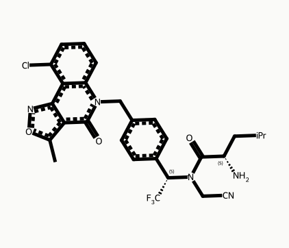 Cc1onc2c1c(=O)n(Cc1ccc([C@H](N(CC#N)C(=O)[C@@H](N)CC(C)C)C(F)(F)F)cc1)c1cccc(Cl)c21